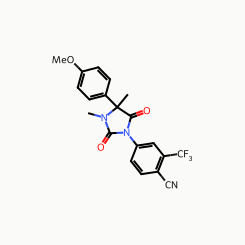 COc1ccc(C2(C)C(=O)N(c3ccc(C#N)c(C(F)(F)F)c3)C(=O)N2C)cc1